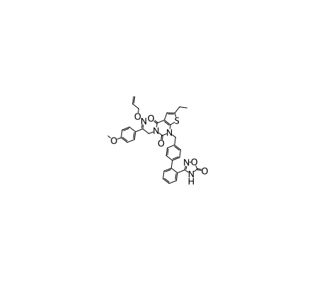 C=CCON=C(Cn1c(=O)c2cc(CC)sc2n(Cc2ccc(-c3ccccc3-c3noc(=O)[nH]3)cc2)c1=O)c1ccc(OC)cc1